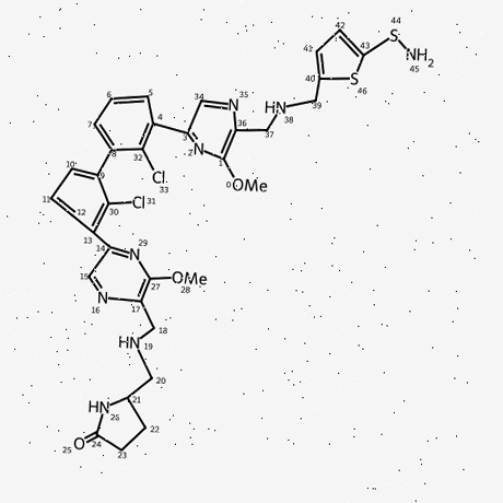 COc1nc(-c2cccc(-c3cccc(-c4cnc(CNCC5CCC(=O)N5)c(OC)n4)c3Cl)c2Cl)cnc1CNCc1ccc(SN)s1